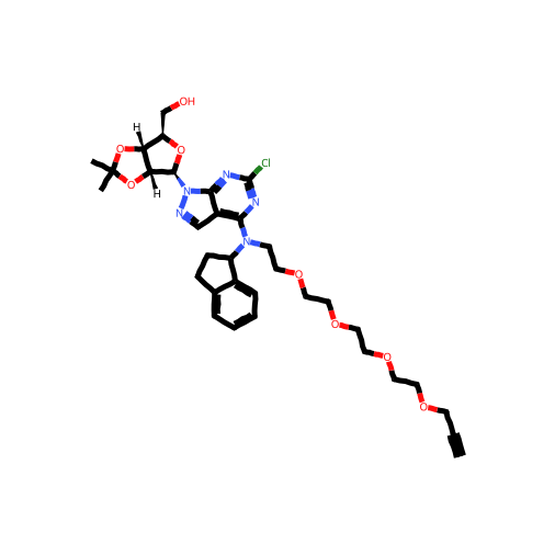 C#CCOCCOCCOCCOCCN(c1nc(Cl)nc2c1cnn2[C@@H]1O[C@H](CO)[C@H]2OC(C)(C)O[C@H]21)C1CCc2ccccc21